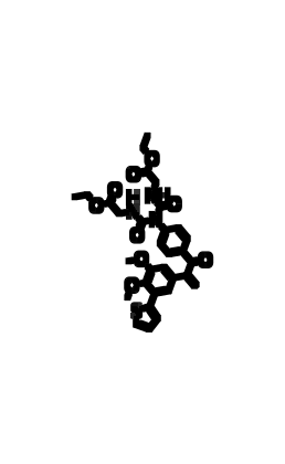 C=C(C(=O)c1ccc(N(C(=O)NCC(=O)OCC)C(=O)NCC(=O)OCC)cc1)c1cc(OC)c(OC)c(-c2cccs2)c1